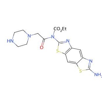 CCOC(=O)N(C(=O)CN1CCNCC1)c1nc2cc3nc(N)sc3cc2s1